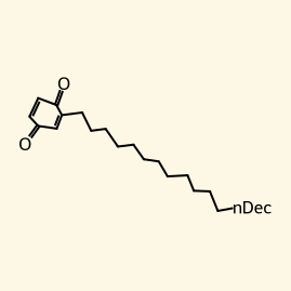 CCCCCCCCCCCCCCCCCCCCCCC1=CC(=O)C=CC1=O